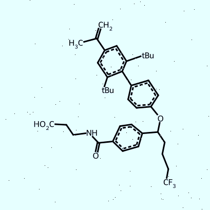 C=C(C)c1cc(C(C)(C)C)c(-c2ccc(OC(CCCC(F)(F)F)c3ccc(C(=O)NCCC(=O)O)cc3)cc2)c(C(C)(C)C)c1